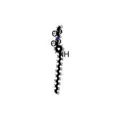 CCCCCCCCCCCCCCCCNc1ccc(C(=O)O/C=C/C(=O)OCC)cc1